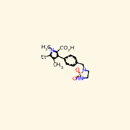 CCc1c(C)c(-c2ccc(CN3CCNS3(=O)=O)cc2)c(C(=O)O)n1C